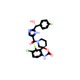 O=C1Nc2ccc(Cl)c(F)c2[C@@]2(CCCN(C(=O)c3cnc([C@H](O)c4ccc(F)cc4)[nH]3)C2)O1